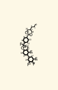 CCCC1COC(c2ccc(C(F)(F)Oc3ccc(-c4cc(F)c(F)c(F)c4)c(F)c3F)cc2)OC1